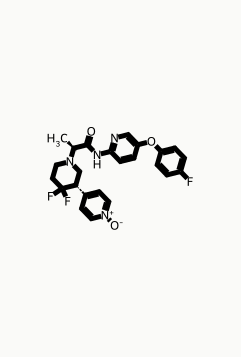 C[C@@H](C(=O)Nc1ccc(Oc2ccc(F)cc2)cn1)N1CCC(F)(F)[C@@H](c2cc[n+]([O-])cc2)C1